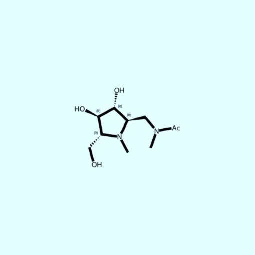 CC(=O)N(C)C[C@@H]1[C@@H](O)[C@H](O)[C@@H](CO)N1C